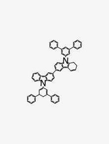 C1=Cc2c(n(-c3cc(-c4ccccc4)cc(-c4ccccc4)c3)c3ccc(-c4ccc5c(c4)c4ccccc4n5C4=CC(c5ccccc5)CC(c5ccccc5)=C4)cc23)CC1